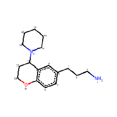 NCCCc1ccc2c(c1)C(N1CCCCC1)CCO2